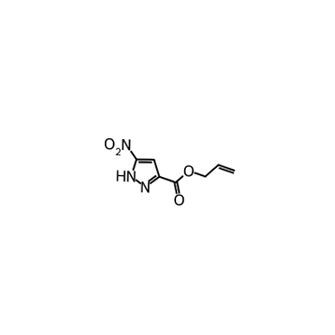 C=CCOC(=O)c1cc([N+](=O)[O-])[nH]n1